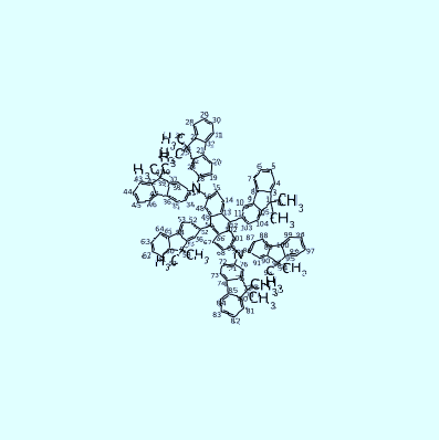 CC1(C)c2ccccc2-c2cc(-c3c4ccc(N(c5ccc6c(c5)C(C)(C)c5ccccc5-6)c5ccc6c(c5)C(C)(C)c5ccccc5-6)cc4c(-c4ccc5c(c4)C(C)(C)c4ccccc4-5)c4ccc(N(c5ccc6c(c5)C(C)(C)c5ccccc5-6)c5ccc6c(c5)C(C)(C)c5ccccc5-6)cc34)ccc21